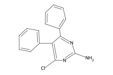 Nc1nc(Cl)c(-c2ccccc2)c(-c2ccccc2)n1